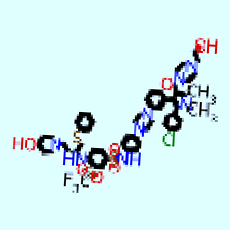 Cc1c(C(=O)N2CCN(CCO)CC2)c(-c2cccc(N3CCN(c4ccc(NS(=O)(=O)c5ccc(N[C@H](CCN6CCC(O)CC6)CSc6ccccc6)c(S(=O)(=O)C(F)(F)F)c5)cc4)CC3)c2)c(-c2ccc(Cl)cc2)n1C